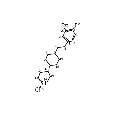 Fc1ccc(CCC2CCC([C@H]3CC[Si@H](Cl)CC3)CC2)cc1F